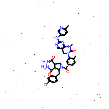 Cc1ccc(Nc2ncc3c(n2)N(C)C(=O)N(c2cc(C(=O)N4CC(C(N)=O)C(C(N)=O)C4Cc4ccc(Cl)cc4)ccc2C)C3)cn1